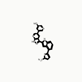 Cc1ccc(-c2cccc3[nH]c(-c4n[nH]c5ncc(-c6cncc(O)c6)cc45)cc23)s1